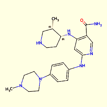 C[C@H]1CNCC[C@H]1Nc1cc(Nc2ccc(N3CCN(C)CC3)cc2)ncc1C(N)=O